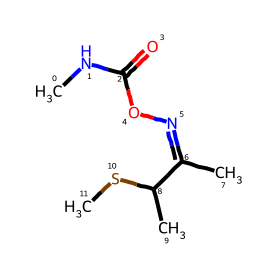 CNC(=O)ON=C(C)C(C)SC